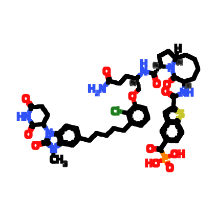 Cn1c(=O)n(C2CCC(=O)NC2=O)c2ccc(CCCCCc3cccc(OC[C@H](CCC(N)=O)NC(=O)[C@@H]4CC[C@@H]5CCCC[C@H](NC(=O)c6cc7cc(C(=O)P(=O)(O)O)ccc7s6)C(=O)N54)c3Cl)cc21